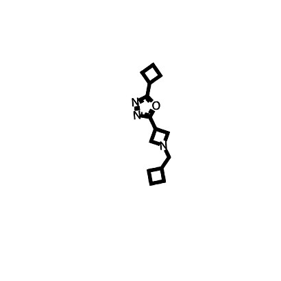 C1CC(CN2CC(c3nnc(C4CCC4)o3)C2)C1